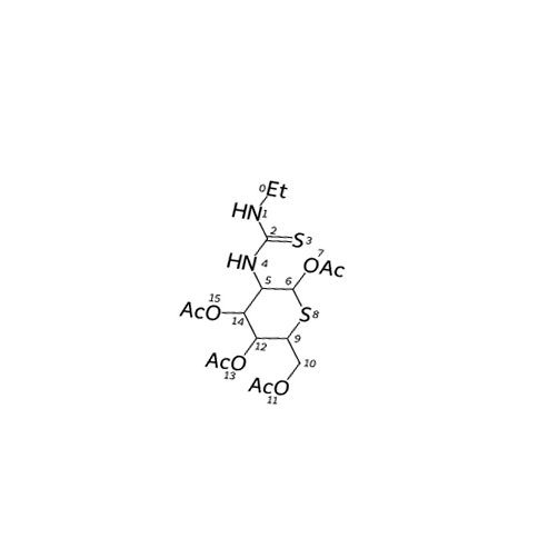 CCNC(=S)NC1C(OC(C)=O)SC(COC(C)=O)C(OC(C)=O)C1OC(C)=O